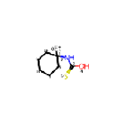 CCC1(NC(O)=S)CCCCC1